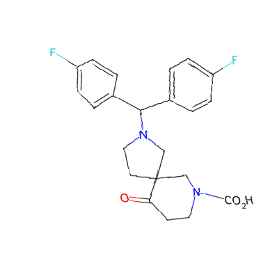 O=C(O)N1CCC(=O)C2(CCN(C(c3ccc(F)cc3)c3ccc(F)cc3)C2)C1